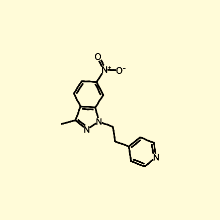 Cc1nn(CCc2ccncc2)c2cc([N+](=O)[O-])ccc12